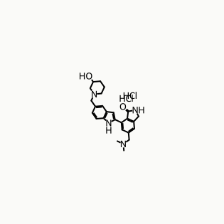 CN(C)Cc1cc2c(c(-c3cc4cc(CN5CCCC(O)C5)ccc4[nH]3)c1)C(=O)NC2.Cl.Cl